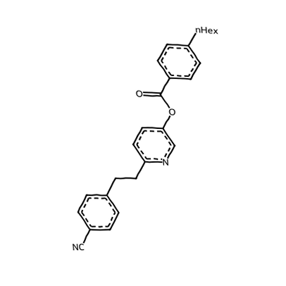 CCCCCCc1ccc(C(=O)Oc2ccc(CCc3ccc(C#N)cc3)nc2)cc1